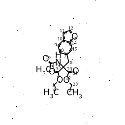 CCOC(=O)C(Cc1ccc2ccoc2c1)(NC(C)=O)C(=O)OCC